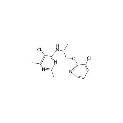 Cc1nc(C)c(Cl)c(NC(C)COc2ncccc2Cl)n1